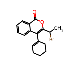 CC(Br)c1oc(=O)c2ccccc2c1C1=CCCCC1